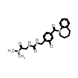 CN(C)C(=O)CNC(=O)NCc1ccc(C(=O)N2CCCCc3ccccc32)cc1Cl